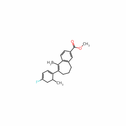 BC1=C(C2=CC=C(F)CC2C)CCCc2cc(C(=O)OC)ccc21